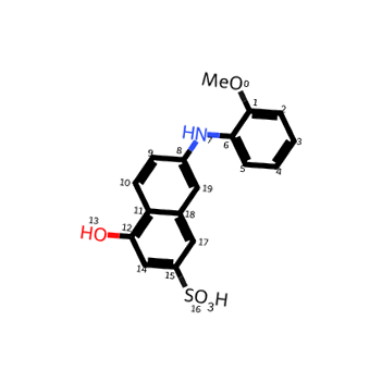 COc1ccccc1Nc1ccc2c(O)cc(S(=O)(=O)O)cc2c1